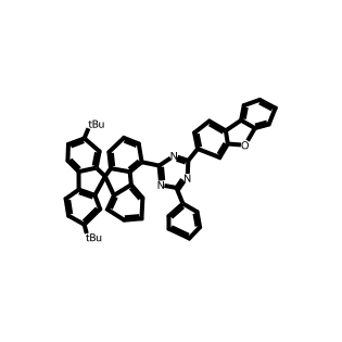 CC(C)(C)c1ccc2c(c1)C1(c3cc(C(C)(C)C)ccc3-2)c2ccccc2-c2c(-c3nc(-c4ccccc4)nc(-c4ccc5c(c4)oc4ccccc45)n3)cccc21